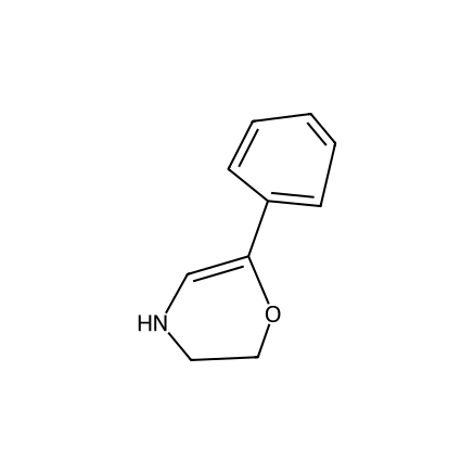 C1=C(c2ccccc2)OCCN1